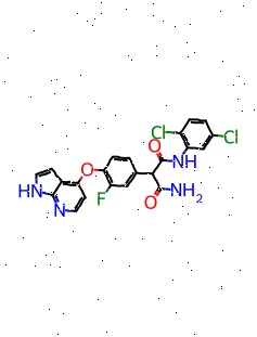 NC(=O)C(C(=O)Nc1cc(Cl)ccc1Cl)c1ccc(Oc2ccnc3[nH]ccc23)c(F)c1